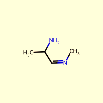 C/N=C\C(C)N